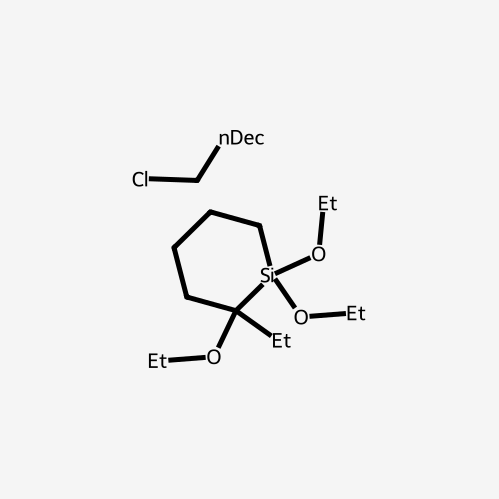 CCCCCCCCCCCCl.CCOC1(CC)CCCC[Si]1(OCC)OCC